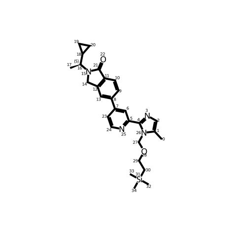 Cc1cnc(-c2cc(-c3ccc4c(c3)CN([C@@H](C)C3CC3)C4=O)ccn2)n1COCC[Si](C)(C)C